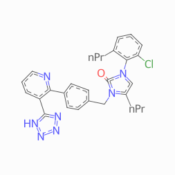 CCCc1cccc(Cl)c1-n1cc(CCC)n(Cc2ccc(-c3ncccc3-c3nnn[nH]3)cc2)c1=O